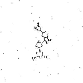 CC1CN(c2cc(-c3n[nH]c4ccc(-c5cn[nH]c5)cc34)ncn2)CC(C)O1